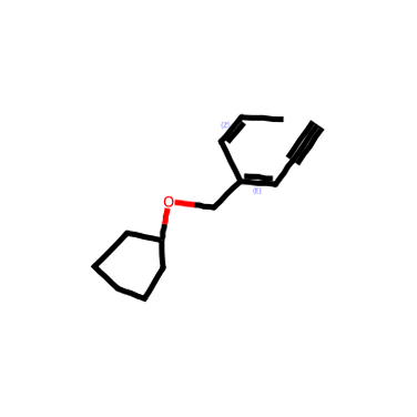 C#C/C=C(\C=C/C)COC1CCCCC1